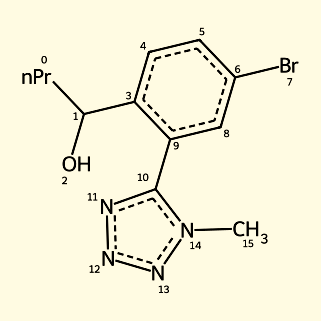 CCCC(O)c1ccc(Br)cc1-c1nnnn1C